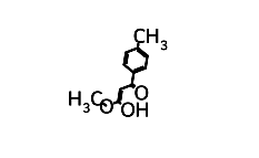 CO/C(O)=C/C(=O)c1ccc(C)cc1